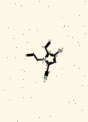 C=CCn1c(C#N)cc(Br)c1C=C